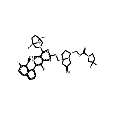 C#Cc1c(F)ccc2cccc(-c3ncc4c(N5C[C@H]6CC[C@@H](C5)N6)nc(OC[C@@]56CC[C@@H](COC(=O)N7CCC(F)(F)C7)N5CC(=C)C6)nc4c3F)c12